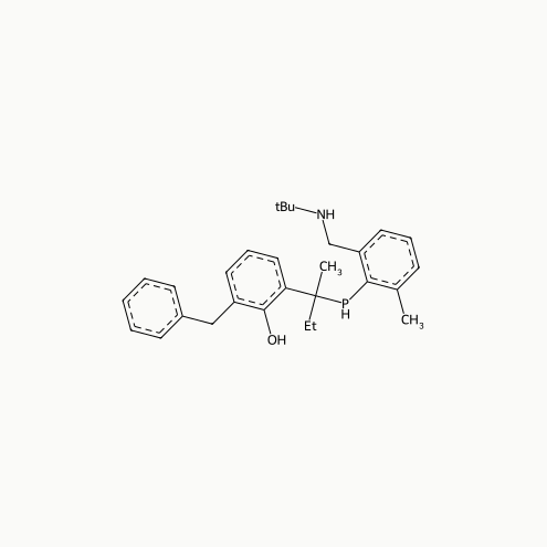 CCC(C)(Pc1c(C)cccc1CNC(C)(C)C)c1cccc(Cc2ccccc2)c1O